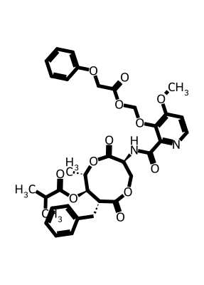 COc1ccnc(C(=O)N[C@H]2COC(=O)[C@H](Cc3ccccc3)[C@@H](OC(=O)C(C)C)[C@H](C)OC2=O)c1OCOC(=O)COc1ccccc1